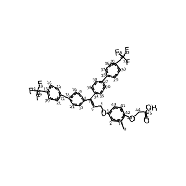 Cc1cc(OCC=C(c2ccc(-c3ccc(C(F)(F)F)cc3)cc2)c2ccc(-c3ccc(C(F)(F)F)cc3)cc2)ccc1OCC(=O)O